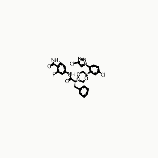 NC(=O)c1ccc(NC(=O)[C@H](Cc2ccccc2)N2CON(c3cc(Cl)ccc3-n3cc(Cl)nn3)CO2)cc1F